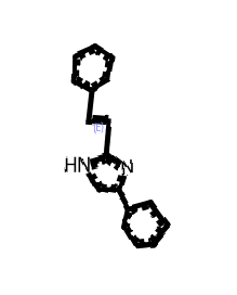 C(=C\c1nc(-c2ccccc2)c[nH]1)/c1ccccc1